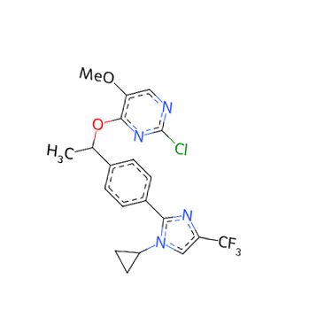 COc1cnc(Cl)nc1OC(C)c1ccc(-c2nc(C(F)(F)F)cn2C2CC2)cc1